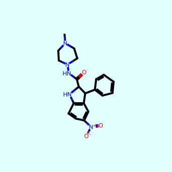 CN1CCN(NC(=O)C2Nc3ccc([N+](=O)[O-])cc3C2c2ccccc2)CC1